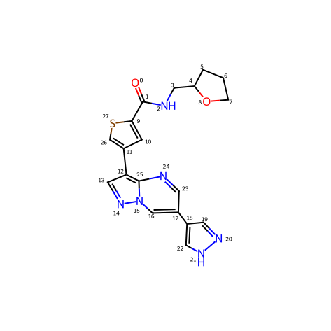 O=C(NCC1CCCO1)c1cc(-c2cnn3cc(-c4cn[nH]c4)cnc23)cs1